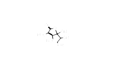 CCC(C)C1(C)OC(=O)C(C)=C1C